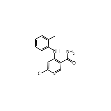 Cc1ccccc1Nc1cc(Cl)ncc1C(N)=O